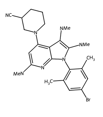 CNc1cc(N2CCCC(C#N)C2)c2c(NC)c(NC)n(-c3c(C)cc(Br)cc3C)c2n1